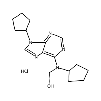 Cl.OCN(c1ncnc2c1ncn2C1CCCC1)C1CCCC1